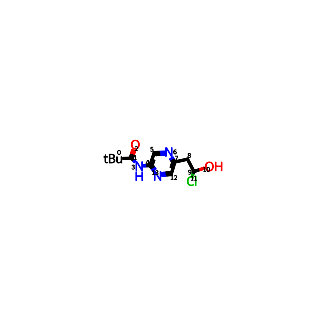 CC(C)(C)C(=O)Nc1cnc(CC(O)Cl)cn1